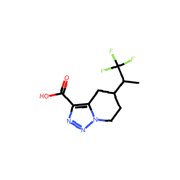 CC(C1CCn2nnc(C(=O)O)c2C1)C(F)(F)F